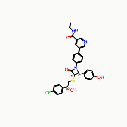 CCNC(=O)c1cncc(-c2ccc(N3C(=O)[C@H](SC[C@H](O)c4ccc(Cl)cc4)[C@H]3c3ccc(O)cc3)cc2)c1